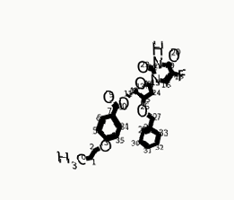 CCCOc1ccc(C(=O)OC[C@@H]2O[C@H](n3cc(F)c(=O)[nH]c3=O)CC2OCc2ccccc2)cc1